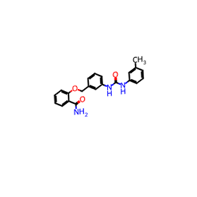 Cc1cccc(NC(=O)Nc2cccc(COc3ccccc3C(N)=O)c2)c1